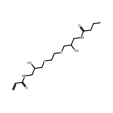 C=CC(=O)NCC(O)COCCOCC(O)CNC(=O)CCC